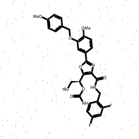 COc1ccc(COc2cc(-c3nc(C(=O)NCc4ccc(F)cc4F)c([C@H](CC(C)(C)C)OC(N)=O)o3)ccc2OC)cc1